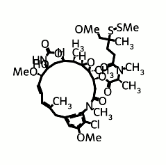 COCC(C)(CCC(=O)N(C)[C@@H](C)C(=O)O[C@H]1CC(=O)N(C)c2cc(cc(OC)c2Cl)C/C(C)=C/C=C/[C@@H](OC)[C@@]2(O)C[C@H](OC(=O)N2)[C@@H](C)[C@@H]2O[C@@]12C)SSC